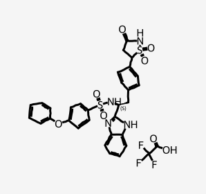 O=C(O)C(F)(F)F.O=C1CC(c2ccc(C[C@H](NS(=O)(=O)c3ccc(Oc4ccccc4)cc3)c3nc4ccccc4[nH]3)cc2)S(=O)(=O)N1